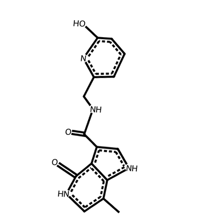 Cc1c[nH]c(=O)c2c(C(=O)NCc3cccc(O)n3)c[nH]c12